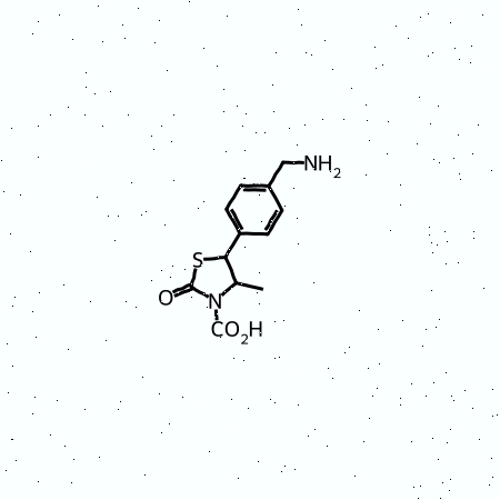 CC1C(c2ccc(CN)cc2)SC(=O)N1C(=O)O